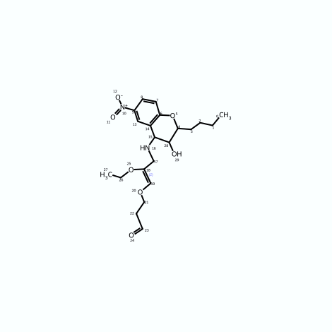 CCCCC1Oc2ccc([N+](=O)[O-])cc2C(NC/C(=C/OCCC=O)OCC)C1O